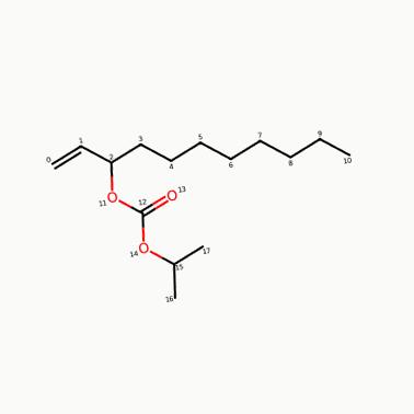 C=CC(CCCCCCCC)OC(=O)OC(C)C